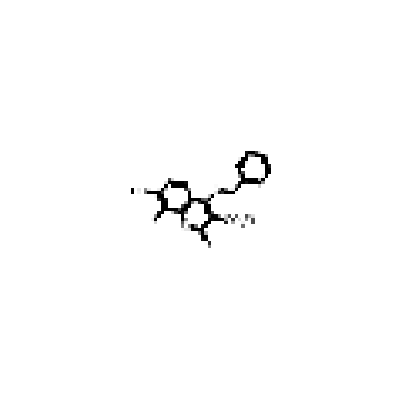 CCOC(=O)c1c(OCc2ccccc2)c2ccc(O)c(C)c2oc1=O